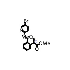 CO/C=C(/C(=O)OC)c1ccccc1COc1ccc(Br)cn1